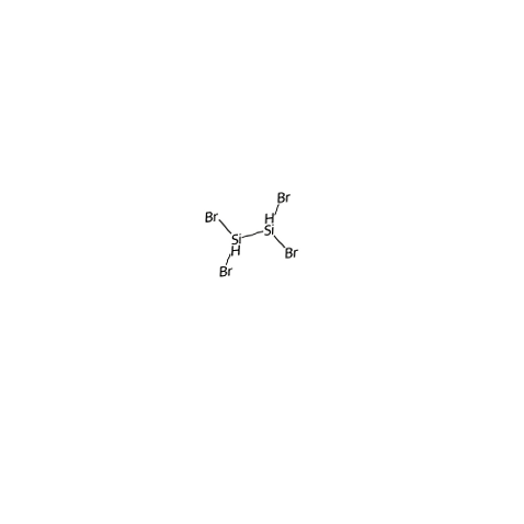 Br[SiH](Br)[SiH](Br)Br